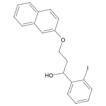 OC(CCOc1ccc2ccccc2c1)c1ccccc1I